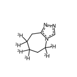 [2H]C1([2H])CC([2H])([2H])C([2H])([2H])Cc2nncn21